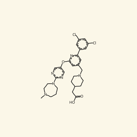 CN1CCCN(c2ncc(Oc3cc(CN4CCC(CC(=O)O)CC4)cc(-c4cc(Cl)cc(Cl)c4)n3)cn2)CC1